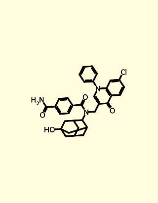 NC(=O)c1ccc(C(=O)N(Cc2cn(-c3ccccc3)c3cc(Cl)ccc3c2=O)C2C3CC4CC2CC(O)(C4)C3)cc1